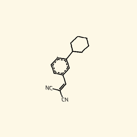 N#CC(C#N)=Cc1cc[c]c(C2CCCCC2)c1